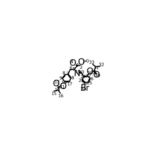 COCC(=O)C(Cc1ccc(OC(=O)C(C)C)cc1)N=Cc1cc(Br)ccc1OC(=O)C(C)C